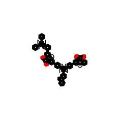 CC1(C)c2ccccc2-c2ccc(-c3nc(-c4ccc(-c5ccc6c(c5)Oc5ccccc5C65c6ccccc6-c6ccccc65)cc4)nc(-c4ccc(-c5ccc6c(c5)Oc5cc(-c7cccc(-c8nc(-c9ccccc9)nc(-c9ccccc9)n8)c7)ccc5C65c6ccccc6-c6ccccc65)cc4)n3)cc21